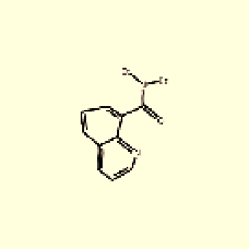 CCN(CC)C(=O)c1cccc2cccnc12